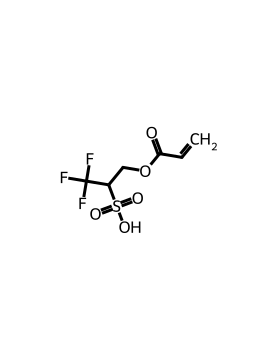 C=CC(=O)OCC(C(F)(F)F)S(=O)(=O)O